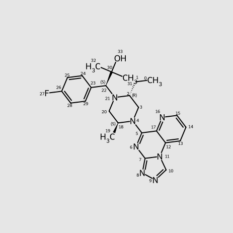 CC[C@@H]1CN(c2nc3nncn3c3cccnc23)[C@@H](C)CN1[C@@H](c1ccc(F)cc1)C(C)(C)O